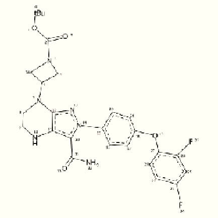 CC(C)(C)OC(=O)N1CC(N2CCNc3c2nn(-c2ccc(Oc4ccc(F)cc4F)cc2)c3C(N)=O)C1